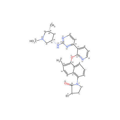 CCC1CCN(c2cccc3c(Oc4ncccc4-c4ccnc(N[C@H]5C[C@@H](C)CN(C(=O)O)C5)n4)c(C)ccc23)C1=O